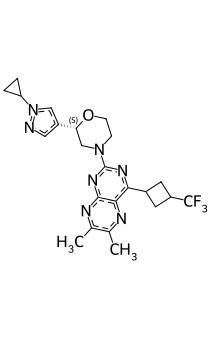 Cc1nc2nc(N3CCO[C@@H](c4cnn(C5CC5)c4)C3)nc(C3CC(C(F)(F)F)C3)c2nc1C